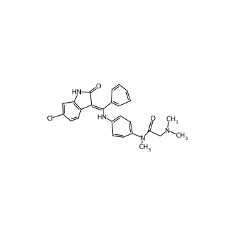 CN(C)CC(=O)N(C)c1ccc(NC(=C2C(=O)Nc3cc(Cl)ccc32)c2ccccc2)cc1